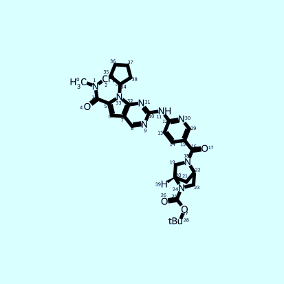 CN(C)C(=O)c1cc2cnc(Nc3ccc(C(=O)N4C[C@@H]5CC4CN5C(=O)OC(C)(C)C)cn3)nc2n1C1CCCC1